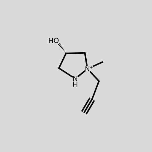 C#CC[N+]1(C)C[C@@H](O)CN1